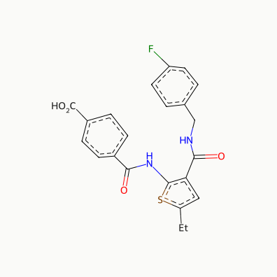 CCc1cc(C(=O)NCc2ccc(F)cc2)c(NC(=O)c2ccc(C(=O)O)cc2)s1